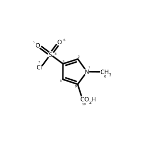 Cn1cc(S(=O)(=O)Cl)cc1C(=O)O